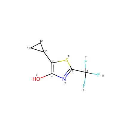 Oc1nc(C(F)(F)F)sc1C1CC1